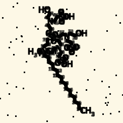 CCCCCCCCCCCCCCCCCC[N+](C)(C)CCC[Si](OCCN(CCO)CCS(=O)(=O)[O-])(OCCN(CCO)CCS(=O)(=O)O)OCCN(CCO)CCS(=O)(=O)O